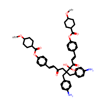 CCCOC1CCC(C(=O)Oc2ccc(C=CC(=O)CC(Cc3ccc(N)cc3)(Cc3ccc(N)cc3)C(O)(O)C(=O)C=Cc3ccc(OC(=O)C4CCC(OCCC)CC4)cc3)cc2)CC1